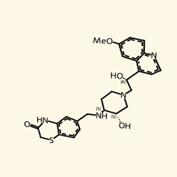 COc1ccc2nccc([C@@H](O)CN3CC[C@H](NCc4ccc5c(c4)NC(=O)CS5)[C@@H](O)C3)c2c1